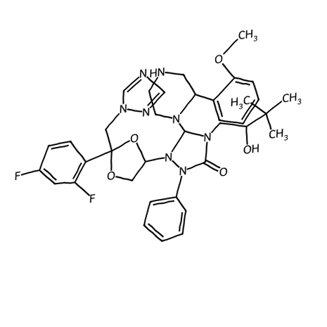 COc1ccccc1C1CNCCN1C1N(CC(O)C(C)(C)C)C(=O)N(c2ccccc2)N1C1COC(Cn2cncn2)(c2ccc(F)cc2F)O1